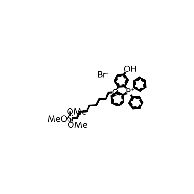 CO[Si](CCCCCCCCOc1ccc(O)cc1[P+](c1ccccc1)(c1ccccc1)c1ccccc1)(OC)OC.[Br-]